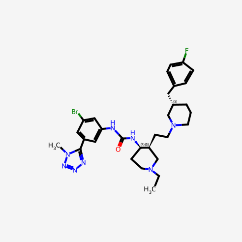 CCN1CC[C@@H](NC(=O)Nc2cc(Br)cc(-c3nnnn3C)c2)[C@@H](CCN2CCC[C@@H](Cc3ccc(F)cc3)C2)C1